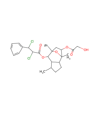 CC1CCC2C1C(OC(=O)C(Cl)C(Cl)c1ccccc1)C1(C(C)C)CC(OC(=O)CO)C2(C)O1